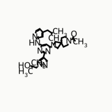 CC(=O)N1CCC2(CC1)CN(c1cc(Nc3cc(CC(C)C)ccn3)nc(-c3cnn(CC(C)(C)O)c3)n1)C2